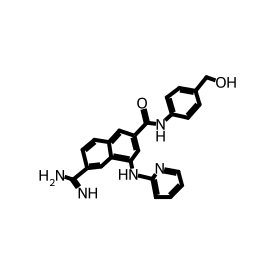 N=C(N)c1ccc2cc(C(=O)Nc3ccc(CO)cc3)cc(Nc3ccccn3)c2c1